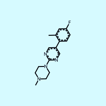 Cc1cc(F)ccc1-c1cnc(N2CCN(C)CC2)nc1